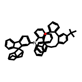 CC(C)(C)c1ccc2c(c1)-c1ccccc1-c1cccc(N(c3ccc4c(c3)C3(c5ccccc5-4)C4CC5CC(C4)C3C5)c3ccccc3-c3ccccc3)c1-c1ccccc1CC2